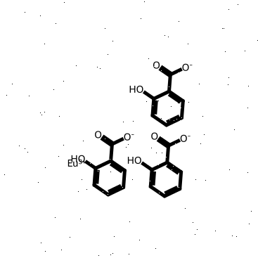 O=C([O-])c1ccccc1O.O=C([O-])c1ccccc1O.O=C([O-])c1ccccc1O.[Eu+3]